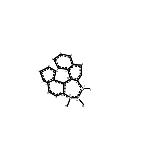 Cn1c2ccc3ccccc3c2c2c3ccccc3ccc2n(C)p1C